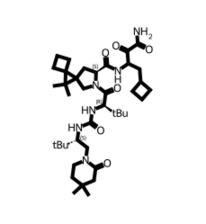 CC1(C)CCN(C[C@@H](NC(=O)N[C@@H](C(=O)N2CC3(C[C@H]2C(=O)NC(CC2CCC2)C(=O)C(N)=O)C(C)(C)C32CCC2)C(C)(C)C)C(C)(C)C)C(=O)C1